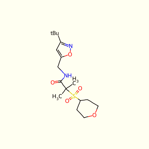 CC(C)(C)c1cc(CNC(=O)C(C)(C)S(=O)(=O)C2CCOCC2)on1